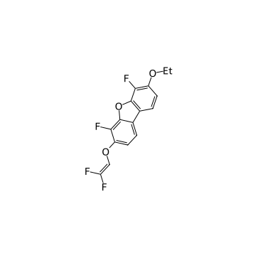 CCOc1ccc2c(oc3c(F)c(OC=C(F)F)ccc32)c1F